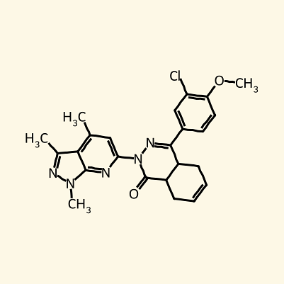 COc1ccc(C2=NN(c3cc(C)c4c(C)nn(C)c4n3)C(=O)C3CC=CCC23)cc1Cl